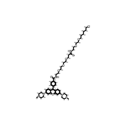 CN1CCN(c2ccc3c(-c4ccc(C(=O)NCCOCCOCCOCCC(=O)NCCOCCOCCCCCCCl)cc4)c4ccc(=[N+]5CCN(C)CC5)cc-4oc3c2)CC1